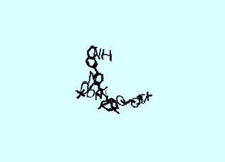 Cc1c(-c2ccc(-c3ccc4c(c3)NCCC4)nc2C(=O)OC(C)(C)C)cnn1CC12CC3(C)CC(C)(C1)CC(OCCO[Si](C)(C)C(C)(C)C)(C3)C2